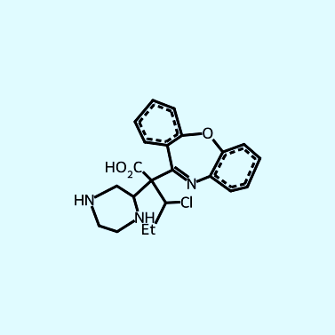 CCC(Cl)C(C(=O)O)(C1=Nc2ccccc2Oc2ccccc21)C1CNCCN1